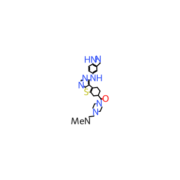 CNCCN1CCN(C(=O)C2CCc3c(sc4ncnc(Nc5ccc6[nH]ncc6c5)c34)C2)CC1